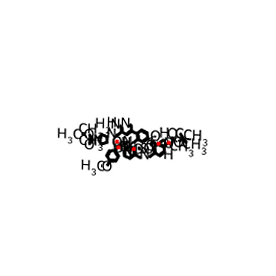 COc1ccc(CN(Cc2ccc(OC)cc2)S(=O)(=O)c2c(S(=O)(=O)CCNC(=O)OC(C)(C)C)ccc(-c3cnc(N)c(C(=O)N[C@H]4CCN(C(=O)OC(C)(C)C)C4)c3)c2-c2nnn(Cc3ccc(OC)cc3)n2)cc1